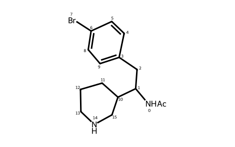 CC(=O)NC(Cc1ccc(Br)cc1)C1CCCNC1